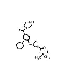 CC(C)(C)OC(=O)N1CC[C@H](Oc2ccc(C(=O)N3CCNCC3)cc2C2CCCCC2)C1